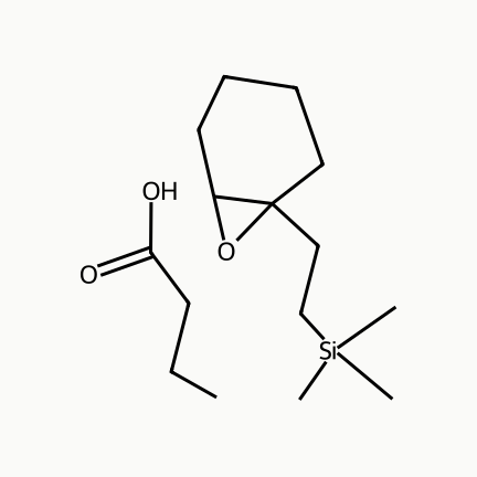 CCCC(=O)O.C[Si](C)(C)CCC12CCCCC1O2